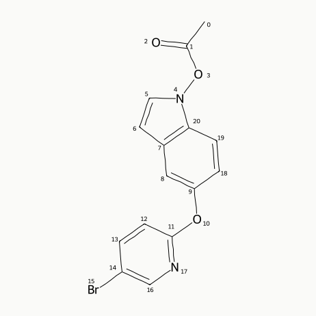 CC(=O)On1ccc2cc(Oc3ccc(Br)cn3)ccc21